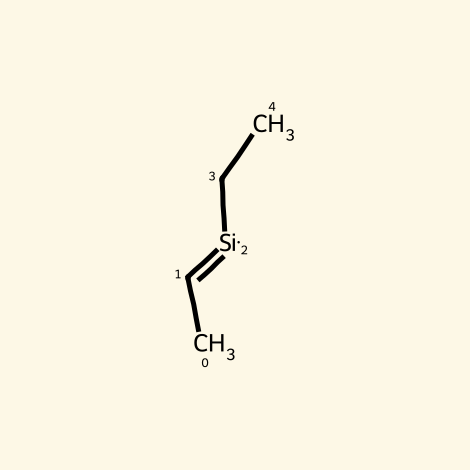 CC=[Si]CC